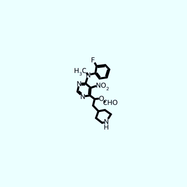 CN(c1ccccc1F)c1ncnc(C(CC2CCNCC2)OC=O)c1[N+](=O)[O-]